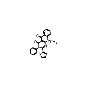 Cn1c2ccccc2c(=O)c2c(=O)n(-c3ccccc3)c(-c3cccs3)nc21